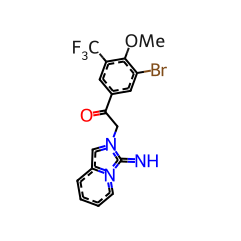 COc1c(Br)cc(C(=O)Cn2cc3ccccn3c2=N)cc1C(F)(F)F